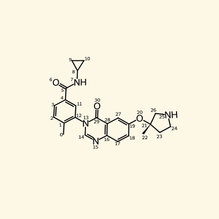 Cc1ccc(C(=O)NC2CC2)cc1-n1cnc2ccc(O[C@@]3(C)CCNC3)cc2c1=O